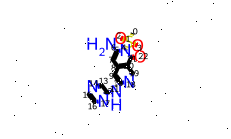 CS(=O)(=O)n1c(N)cc2cc(Nc3cnccn3)ncc2c1=O